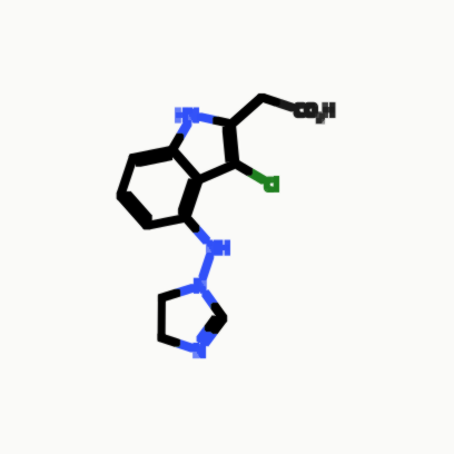 O=C(O)Cc1[nH]c2cccc(NN3C=NCC3)c2c1Cl